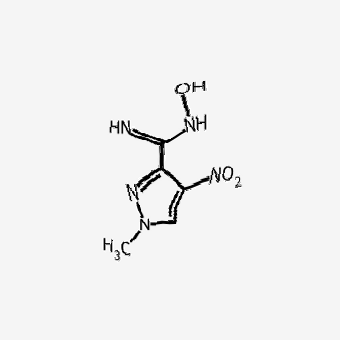 Cn1cc([N+](=O)[O-])c(C(=N)NO)n1